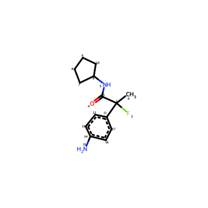 CC(F)(C(=O)NC1CCCC1)c1ccc(N)cc1